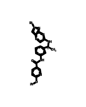 CCn1cc2ncc(N[C@@H](C)c3cccc(NC(=O)c4ccc(OC(C)C)nc4)c3)nc2n1